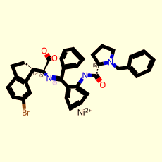 O=C([O-])[C@@H](/N=C(\c1ccccc1)c1ccccc1[N-]C(=O)[C@@H]1CCCN1Cc1ccccc1)[C@H]1CCc2ccc(Br)cc21.[Ni+2]